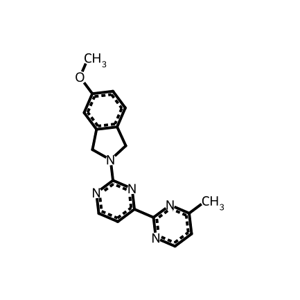 COc1ccc2c(c1)CN(c1nccc(-c3nccc(C)n3)n1)C2